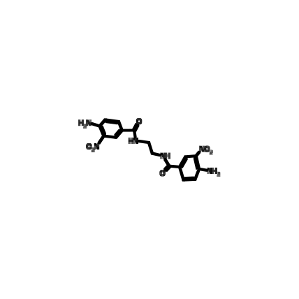 Nc1ccc(C(=O)NCCNC(=O)c2ccc(N)c([N+](=O)[O-])c2)cc1[N+](=O)[O-]